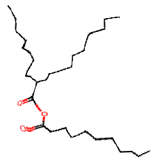 CCCCCCCCCCC(=O)OC(=O)C(CCCCCCC)CCCCCCCCC